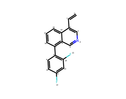 C=Cc1cncc2c(-c3ccc(F)cc3F)cccc12